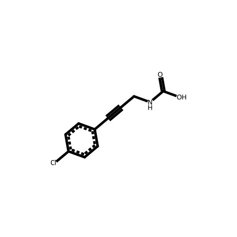 O=C(O)NCC#Cc1ccc(Cl)cc1